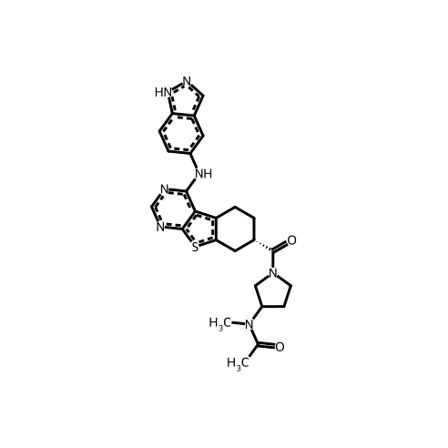 CC(=O)N(C)C1CCN(C(=O)[C@H]2CCc3c(sc4ncnc(Nc5ccc6[nH]ncc6c5)c34)C2)C1